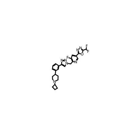 Fc1cc(-c2nnc(C(F)F)o2)cnc1Cn1cc(-c2cccc(C3CCN(C4CCC4)CC3)c2)nn1